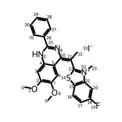 COc1cc2c(cc1OC)C(=C(C)c1sc3ccc(F)cc3[n+]1C)N=C(c1ccccc1)N2.[I-]